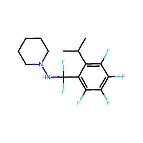 CC(C)c1c(F)c(F)c(F)c(F)c1C(F)(F)NN1CCCCC1